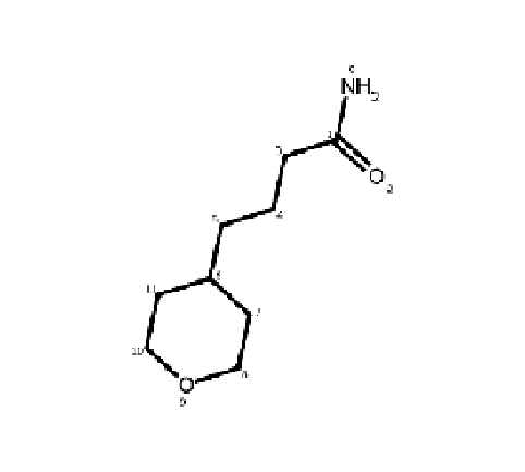 NC(=O)CCCC1CCOCC1